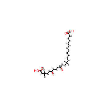 CC(C)(CCCCCCCCCCCC(=O)O)CCC(=O)CCCC(=O)CCC(C)(C)CC(=O)O